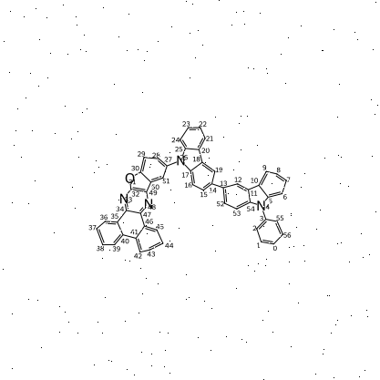 c1ccc(-n2c3ccccc3c3cc(-c4ccc5c(c4)c4ccccc4n5-c4ccc5oc6nc7c8ccccc8c8ccccc8c7nc6c5c4)ccc32)cc1